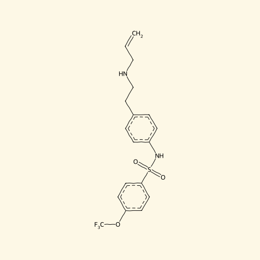 C=CCNCCc1ccc(NS(=O)(=O)c2ccc(OC(F)(F)F)cc2)cc1